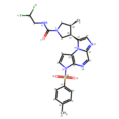 CC[C@@H]1CN(C(=O)NCC(F)F)C[C@@H]1c1cnc2cnc3c(ccn3S(=O)(=O)c3ccc(C)cc3)n12